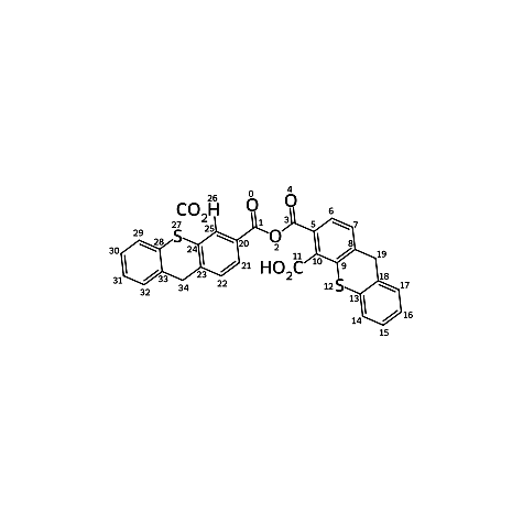 O=C(OC(=O)c1ccc2c(c1C(=O)O)Sc1ccccc1C2)c1ccc2c(c1C(=O)O)Sc1ccccc1C2